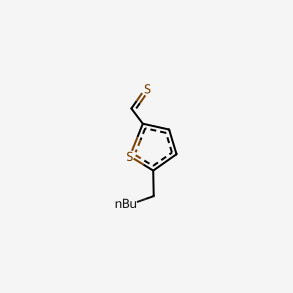 CCCCCc1ccc(C=S)s1